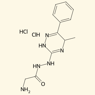 CC1N=C(NNC(=O)CN)NN=C1c1ccccc1.Cl.Cl